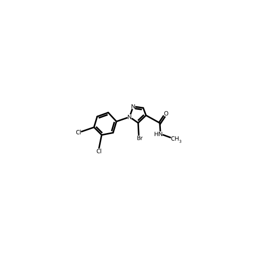 CNC(=O)c1cnn(-c2ccc(Cl)c(Cl)c2)c1Br